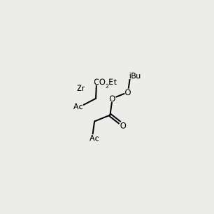 CCC(C)OOC(=O)CC(C)=O.CCOC(=O)CC(C)=O.[Zr]